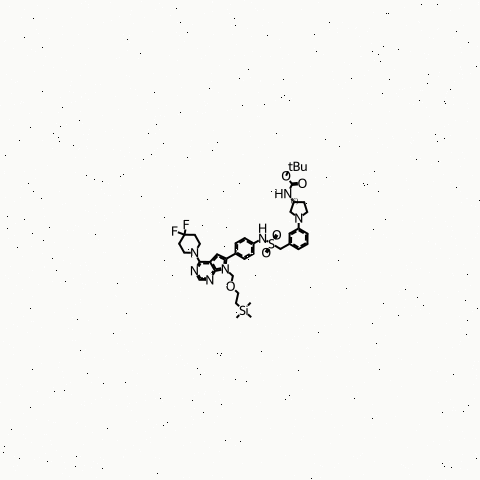 CC(C)(C)OC(=O)N[C@H]1CCN(c2cccc(CS(=O)(=O)Nc3ccc(-c4cc5c(N6CCC(F)(F)CC6)ncnc5n4COCC[Si](C)(C)C)cc3)c2)C1